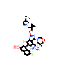 CCc1c(F)ccc2cc(O)cc(-c3c(F)c4nc(OCC5(CN6CCC(C#N)C6)CC5)nc(N5CCOCC(C)(O)C5)c4c4cn(C)nc34)c12